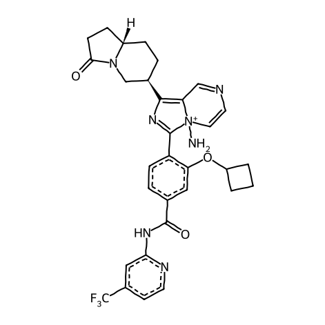 N[N+]12C=CN=CC1=C([C@@H]1CC[C@H]3CCC(=O)N3C1)N=C2c1ccc(C(=O)Nc2cc(C(F)(F)F)ccn2)cc1OC1CCC1